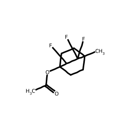 CC(=O)OC12CCC(C)(CC1)C(F)(F)C2F